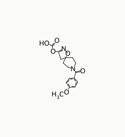 COc1ccc(C(=O)N2CCC3(CC2)CC(OC(=O)O)=NO3)cc1